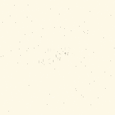 OCc1nc(N/N=C(\Br)C(F)(F)F)cnc1-c1ccc(OC(F)(F)F)cc1